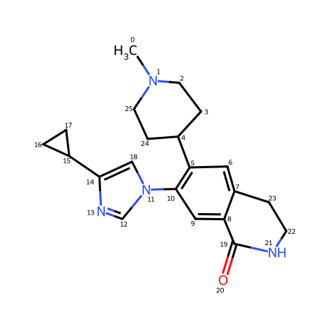 CN1CCC(c2cc3c(cc2-n2cnc(C4CC4)c2)C(=O)NCC3)CC1